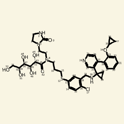 O=C1NCCN1CCN(CCCSc1ccc(Cl)c(CNC2(c3cnccc3-c3ccccc3OC3CC3)CC2)c1)C(=O)[C@@H](O)[C@@H](O)[C@H](O)[C@@H](O)CO